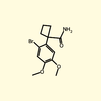 COc1cc(Br)c(C2(C(N)=O)CCC2)cc1OC